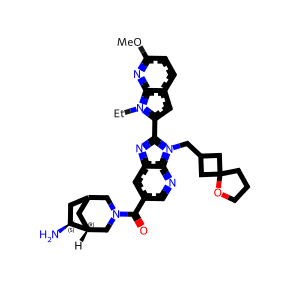 CCn1c(-c2nc3cc(C(=O)N4CC5C[C@H](C4)[C@@H](N)C5)cnc3n2CC2CC3(CCCO3)C2)cc2ccc(OC)nc21